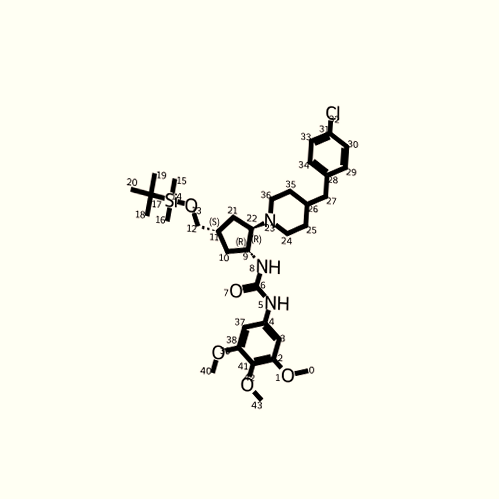 COc1cc(NC(=O)N[C@@H]2C[C@H](CO[Si](C)(C)C(C)(C)C)C[C@H]2N2CCC(Cc3ccc(Cl)cc3)CC2)cc(OC)c1OC